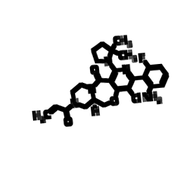 C=CC(=O)N1CCN2C(=O)c3c(N4CCCC4(C)C)nc(-c4c(N)cccc4F)c(Cl)c3OC[C@H]2C1